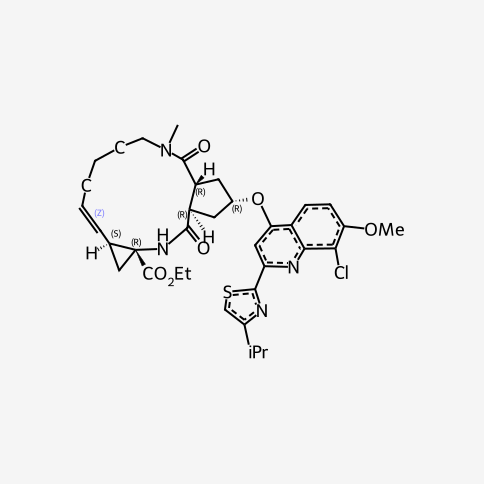 CCOC(=O)[C@@]12C[C@H]1/C=C\CCCCN(C)C(=O)[C@@H]1C[C@H](Oc3cc(-c4nc(C(C)C)cs4)nc4c(Cl)c(OC)ccc34)C[C@H]1C(=O)N2